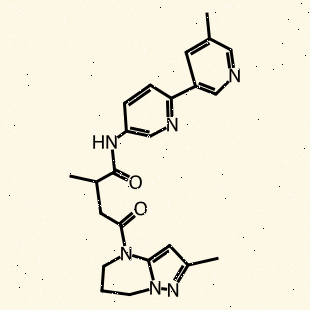 Cc1cncc(-c2ccc(NC(=O)C(C)CC(=O)N3CCCn4nc(C)cc43)cn2)c1